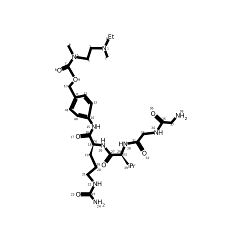 CCN(C)CCN(C)C(=O)OCc1ccc(NC(=O)[C@H](CCCNC(N)=O)NC(=O)[C@@H](NC(=O)CNC(=O)CN)C(C)C)cc1